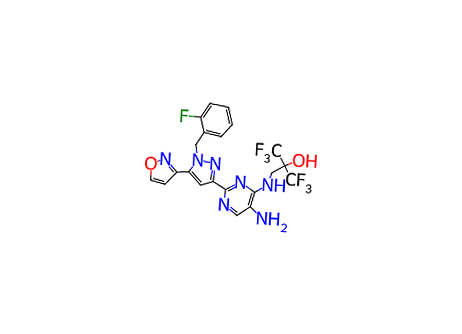 Nc1cnc(-c2cc(-c3ccon3)n(Cc3ccccc3F)n2)nc1NCC(O)(C(F)(F)F)C(F)(F)F